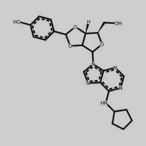 OC[C@H]1OC(n2cnc3c(NC4CCCC4)ncnc32)C2OC(c3ccc(O)cc3)O[C@@H]21